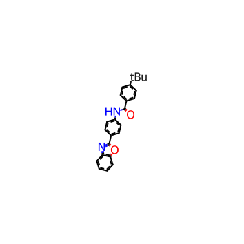 CC(C)(C)c1ccc(C(=O)Nc2ccc(-c3nc4ccccc4o3)cc2)cc1